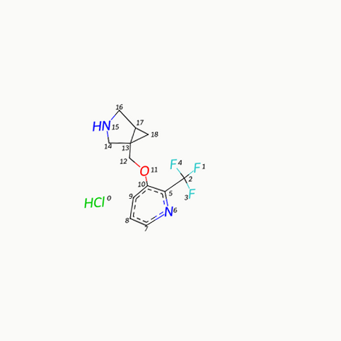 Cl.FC(F)(F)c1ncccc1OCC12CNCC1C2